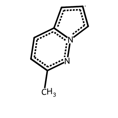 Cc1ccc2c[c]cn2n1